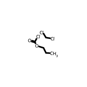 CCCOC(=O)Cl.ClCCl